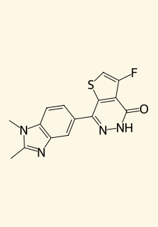 Cc1nc2cc(-c3n[nH]c(=O)c4c(F)csc34)ccc2n1C